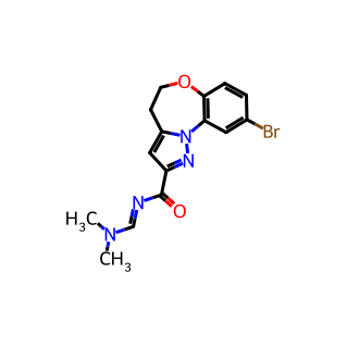 CN(C)C=NC(=O)c1cc2n(n1)-c1cc(Br)ccc1OCC2